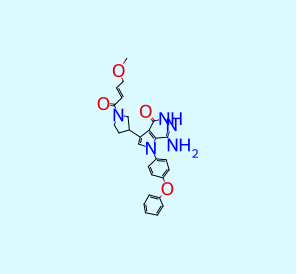 COCC=CC(=O)N1CCC(c2cn(-c3ccc(Oc4ccccc4)cc3)c3c(N)n[nH]c(=O)c23)C1